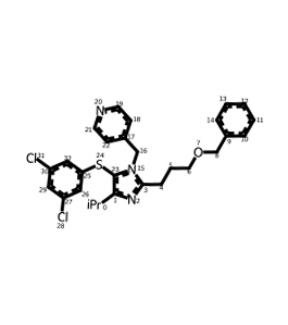 CC(C)c1nc(CCCOCc2ccccc2)n(Cc2ccncc2)c1Sc1cc(Cl)cc(Cl)c1